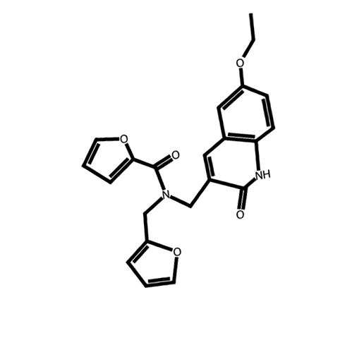 CCOc1ccc2[nH]c(=O)c(CN(Cc3ccco3)C(=O)c3ccco3)cc2c1